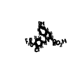 O=C(O)Oc1cc2cc(O)ccc2n1Cc1ccc(OC(F)(F)F)c(Cl)c1